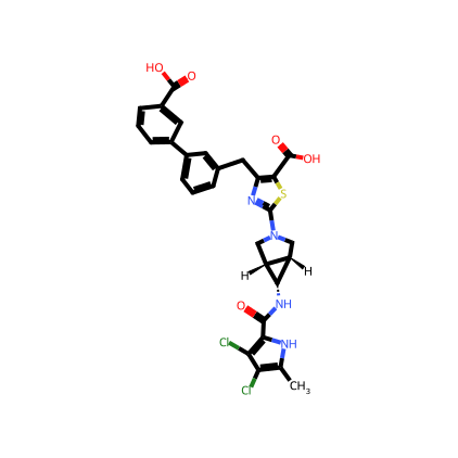 Cc1[nH]c(C(=O)N[C@@H]2[C@@H]3CN(c4nc(Cc5cccc(-c6cccc(C(=O)O)c6)c5)c(C(=O)O)s4)C[C@@H]32)c(Cl)c1Cl